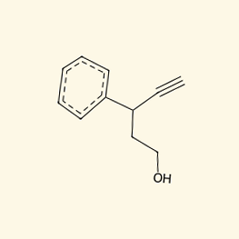 C#CC(CCO)c1ccccc1